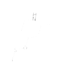 CC1CC(OSI)CCN1